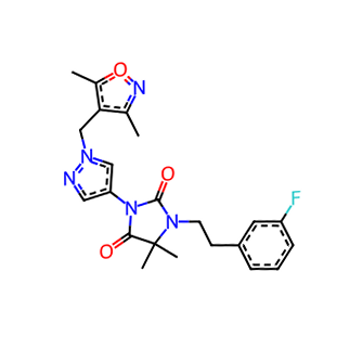 Cc1noc(C)c1Cn1cc(N2C(=O)N(CCc3cccc(F)c3)C(C)(C)C2=O)cn1